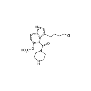 O=C(O)Oc1ccc2[nH]cc(CCCCCl)c2c1C(=O)N1CCNCC1